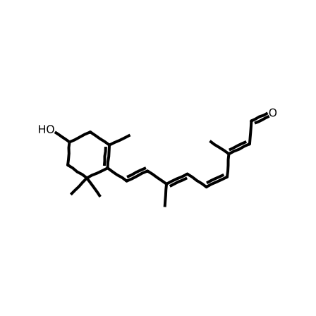 CC1=C(/C=C/C(C)=C/C=C\C(C)=C\C=O)C(C)(C)CC(O)C1